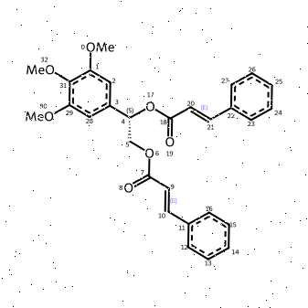 COc1cc([C@@H](COC(=O)/C=C/c2ccccc2)OC(=O)/C=C/c2ccccc2)cc(OC)c1OC